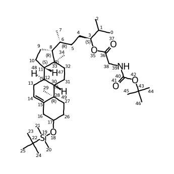 CC(C)[C@H](CC[C@@H](C)[C@H]1CC[C@H]2[C@@H]3CC=C4CC(O[Si](C)(C)C(C)(C)C)CC[C@]4(C)[C@H]3CC[C@]12C)OC(=O)CNC(=O)OC(C)(C)C